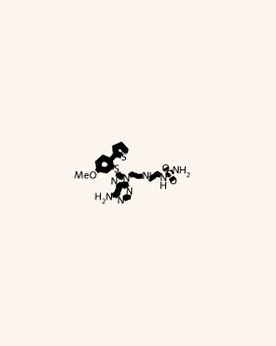 COc1ccc(-c2cccs2)c(Sc2nc3c(N)ncnc3n2CCNCCNS(N)(=O)=O)c1